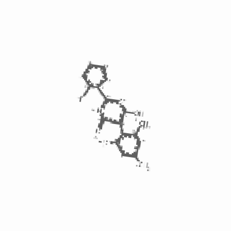 Cc1cc(C)c(-c2c(O)sc(-c3ccccc3F)nc2=O)c(C)c1